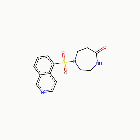 O=C1CCN(S(=O)(=O)c2cccc3cnccc23)CCN1